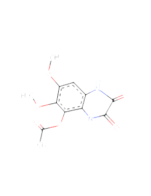 COc1cc2c(c(OC(C)=O)c1OC)[N]C(=O)C(=O)N2